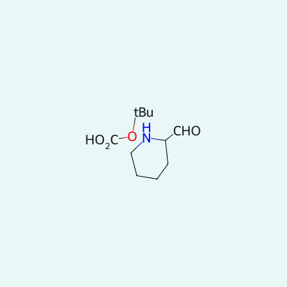 CC(C)(C)OC(=O)O.O=CC1CCCCN1